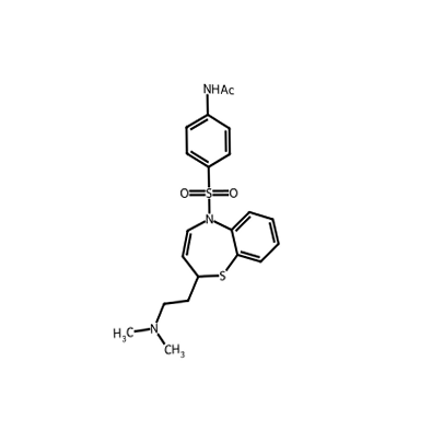 CC(=O)Nc1ccc(S(=O)(=O)N2C=CC(CCN(C)C)Sc3ccccc32)cc1